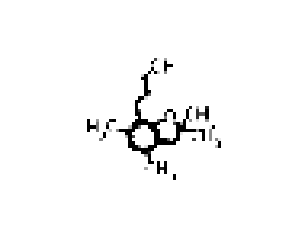 Cc1cc(C)c2c(c1CCCO)OC(C)(C)C2